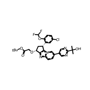 CC(C)(C)OC(=O)CO[C@@H]1C[C@H](c2cc(Cl)ccc2OC(F)F)c2c1nc1ccc(-c3cnc(C(C)(C)O)nc3)cn21